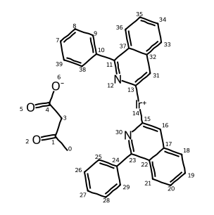 CC(=O)CC(=O)[O-].c1ccc(-c2n[c]([Ir+][c]3cc4ccccc4c(-c4ccccc4)n3)cc3ccccc23)cc1